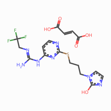 NC(=NCC(F)(F)F)Nc1ccnc(SCCCn2ccnc2O)n1.O=C(O)C=CC(=O)O